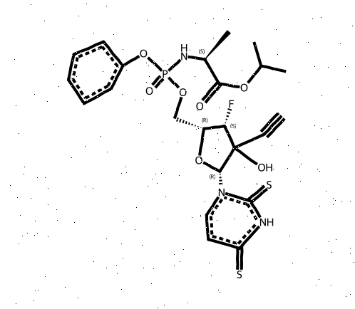 C#CC1(O)[C@@H](F)[C@@H](COP(=O)(N[C@@H](C)C(=O)OC(C)C)Oc2ccccc2)O[C@H]1n1ccc(=S)[nH]c1=S